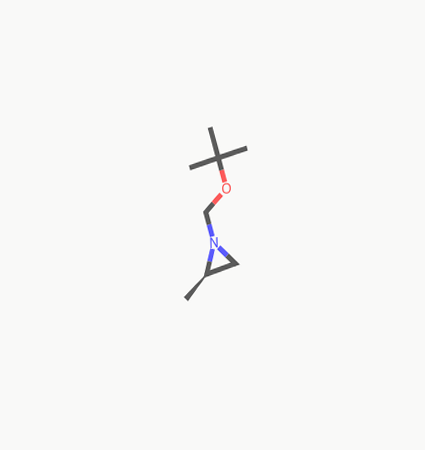 C[C@@H]1CN1COC(C)(C)C